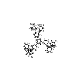 CC1(C)N=C(c2ccc(-c3cc(-c4ccc(C5=NC(C)(C)C(C)(C)N5c5ccccc5)cc4)nc(-c4ccc(C5=NC(C)(C)C(C)(C)N5c5ccccc5)cc4)n3)cc2)N(c2ccccc2)C1(C)C